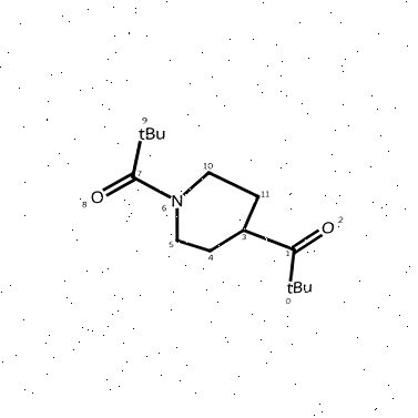 CC(C)(C)C(=O)C1CCN(C(=O)C(C)(C)C)CC1